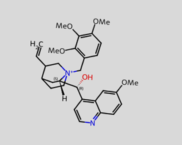 C=CC1C[N+]2(Cc3ccc(OC)c(OC)c3OC)CCC1C[C@H]2[C@H](O)c1ccnc2ccc(OC)cc12